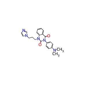 CN(C)c1ccc(-n2c(=O)c3ccccc3n(CCCn3ccnc3)c2=O)cc1